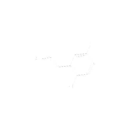 CC(=O)/C=C/c1cc(Cl)ccc1Cl